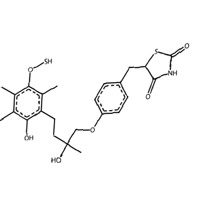 Cc1c(C)c(OS)c(C)c(CCC(C)(O)COc2ccc(CC3SC(=O)NC3=O)cc2)c1O